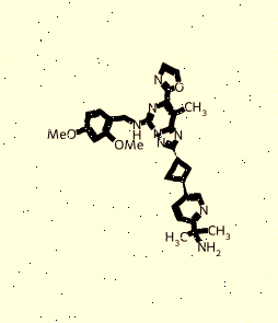 COc1ccc(CNc2nc(-c3ncco3)c(C)c3nc([C@H]4C[C@H](c5ccc(C(C)(C)N)nc5)C4)nn23)c(OC)c1